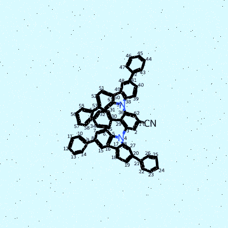 N#Cc1cc(-n2c3ccc(-c4ccccc4)cc3c3ccc(-c4ccccc4)cc32)c(-c2ccccc2)c(-n2c3ccc(-c4ccccc4)cc3c3ccc(-c4ccccc4)cc32)c1